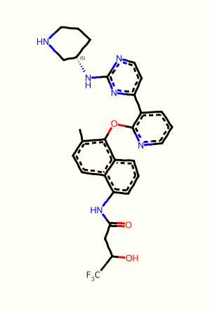 Cc1ccc2c(NC(=O)CC(O)C(F)(F)F)cccc2c1Oc1ncccc1-c1ccnc(N[C@H]2CCCNC2)n1